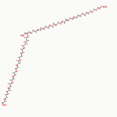 OCCOCCOCCOCCOCCOCCOCCOCCOCCOCCOCCOCCOCC(CO)OCCOCCOCCOCCOCCOCCOCCOCCOCCOCCOCCOCCO